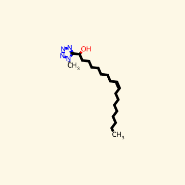 CCCCCCCC/C=C\CCCCCCCC(O)c1nnnn1C